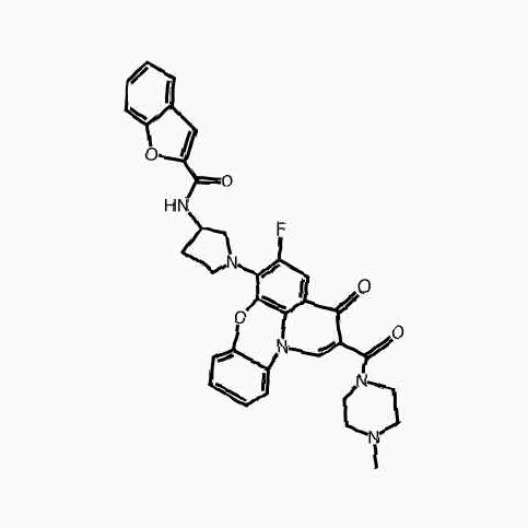 CN1CCN(C(=O)c2cn3c4c(c(N5CCC(NC(=O)c6cc7ccccc7o6)C5)c(F)cc4c2=O)Oc2ccccc2-3)CC1